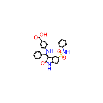 O=C1Nc2ccc(S(=O)(=O)Nc3ccccc3)cc2C1=C(Nc1ccc(C(=O)O)cc1)c1ccccc1